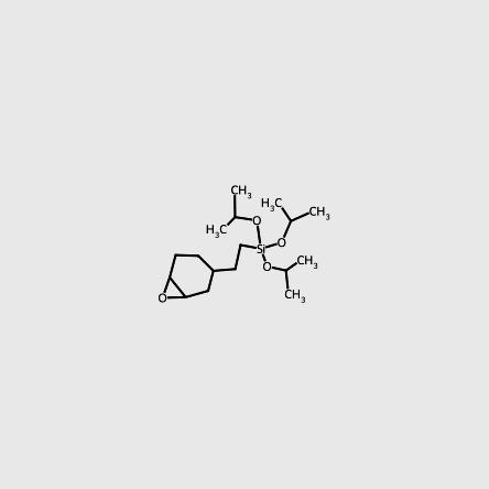 CC(C)O[Si](CCC1CCC2OC2C1)(OC(C)C)OC(C)C